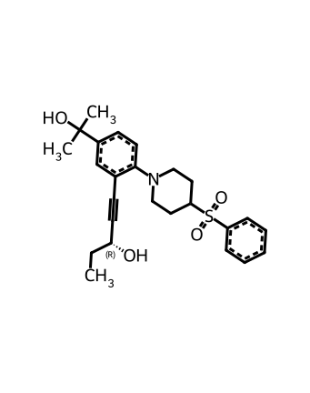 CC[C@@H](O)C#Cc1cc(C(C)(C)O)ccc1N1CCC(S(=O)(=O)c2ccccc2)CC1